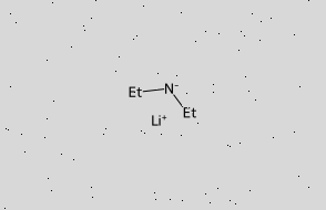 CC[N-]CC.[Li+]